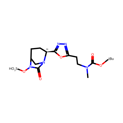 CN(CCc1nnc([C@@H]2CCC3CN2C(=O)N3OS(=O)(=O)O)o1)C(=O)OC(C)(C)C